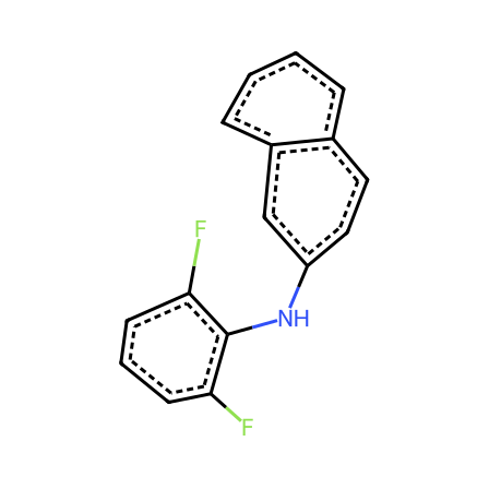 Fc1cccc(F)c1Nc1ccc2ccccc2c1